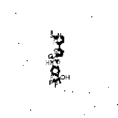 CSc1nccc(-c2ccc(S(=O)(=O)Nc3ccc(C(C)(O)C(F)(F)F)cc3)s2)n1